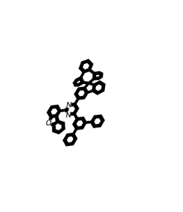 c1ccc(-c2cc(-c3ccccc3)cc(-c3cc(-c4ccc5c(c4)-c4ccccc4C54c5ccccc5-c5ccccc5-c5ccccc54)nc(-c4cccc5oc6ccccc6c45)n3)c2)cc1